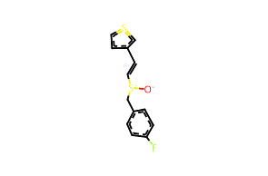 [O-][S+](/C=C/c1ccsc1)Cc1ccc(F)cc1